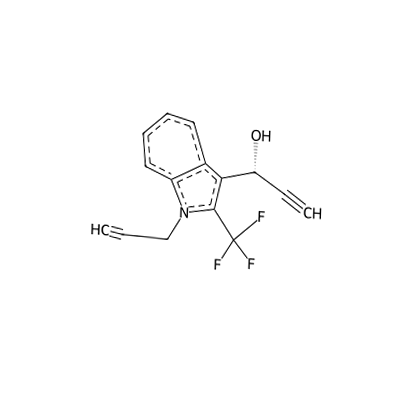 C#CCn1c(C(F)(F)F)c([C@H](O)C#C)c2ccccc21